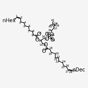 CCCCCC/C=C\CCCCCCCC(=O)O[C@H](COC(=O)CCCCCCCCC/C=C\CCCCCCCCCC)COP(=O)([O-])OCC[N+](C)(C)C